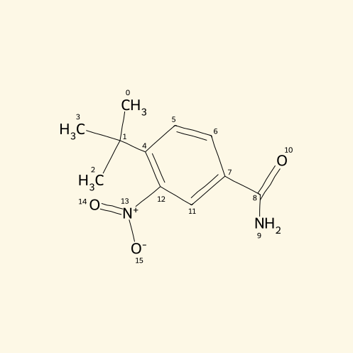 CC(C)(C)c1ccc(C(N)=O)cc1[N+](=O)[O-]